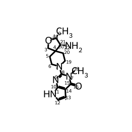 C[C@@H]1OCC2(CCN(c3nc4[nH]c[c]c4c(=O)n3C)CC2)[C@@H]1N